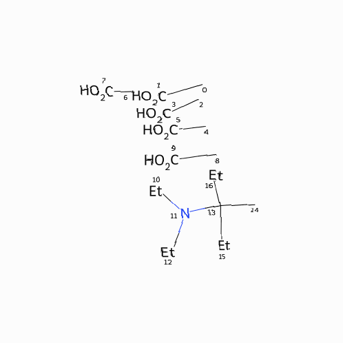 CC(=O)O.CC(=O)O.CC(=O)O.CC(=O)O.CC(=O)O.CCN(CC)C(C)(CC)CC